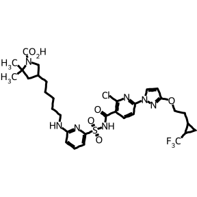 CC1(C)CC(CCCCCNc2cccc(S(=O)(=O)NC(=O)c3ccc(-n4ccc(OCCC5CC5C(F)(F)F)n4)nc3Cl)n2)CN1C(=O)O